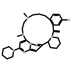 C=C1c2cc(Cl)ccc2CCCN(C)CCN(C)c2cc(N3CCCCC3)nc3cc(nn23)C2CCCCN12